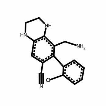 N#Cc1cc2c(c(CN)c1-c1ccccc1Cl)NCCN2